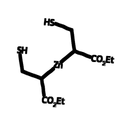 CCOC(=O)[CH](CS)[Zn][CH](CS)C(=O)OCC